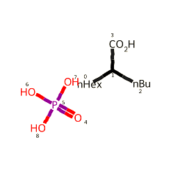 CCCCCCC(CCCC)C(=O)O.O=P(O)(O)O